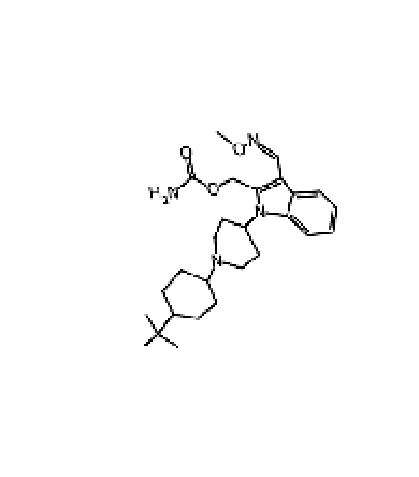 CO/N=C\c1c(COC(N)=O)n(C2CCN(C3CCC(C(C)(C)C)CC3)CC2)c2ccccc12